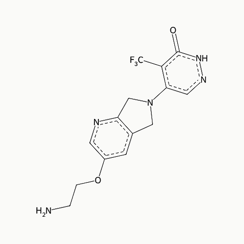 NCCOc1cnc2c(c1)CN(c1cn[nH]c(=O)c1C(F)(F)F)C2